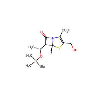 C[C@@H](O[Si](C)(C)C(C)(C)C)[C@H]1C(=O)N2C(C(=O)O)=C(CO)S[C@H]12